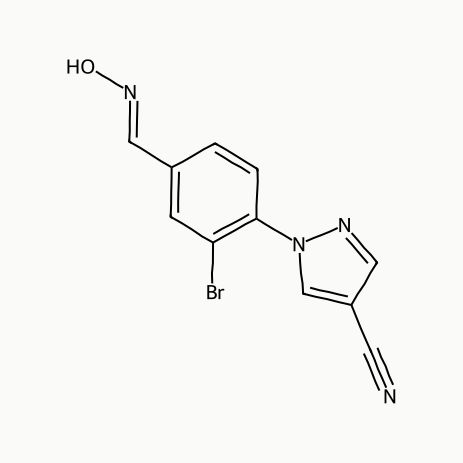 N#Cc1cnn(-c2ccc(/C=N/O)cc2Br)c1